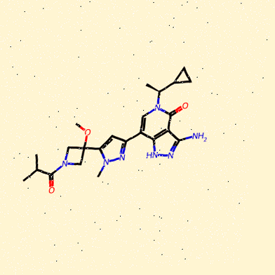 COC1(c2cc(-c3cn([C@@H](C)C4CC4)c(=O)c4c(N)n[nH]c34)nn2C)CN(C(=O)C(C)C)C1